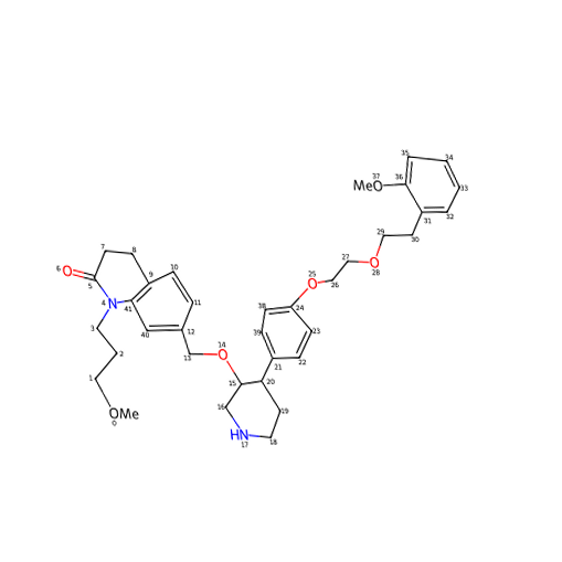 COCCCN1C(=O)CCc2ccc(COC3CNCCC3c3ccc(OCCOCCc4ccccc4OC)cc3)cc21